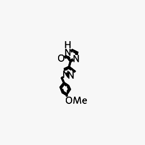 COc1ccc(Cn2cc(-c3ncc[nH]c3=O)cn2)cc1